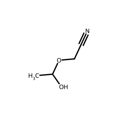 CC(O)OCC#N